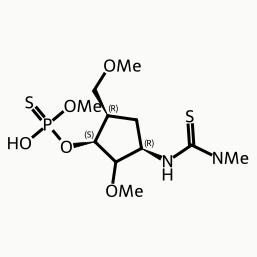 CNC(=S)N[C@@H]1C[C@H](COC)[C@H](OP(O)(=S)OC)C1OC